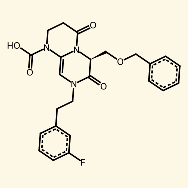 O=C1[C@H](COCc2ccccc2)N2C(=O)CCN(C(=O)O)C2=CN1CCc1cccc(F)c1